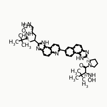 CON[C@H](CC(CCCN)c1nc2ccc3nc(-c4ccc5c(ccc6nc([C@@H]7CCCN7C(=O)[C@@H](NO)C(C)(C)C)[nH]c65)c4)ccc3c2[nH]1)C(C)(C)C